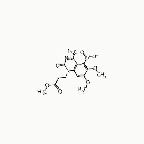 COC(=O)CCn1c(=O)nc(C)c2c([N+](=O)[O-])c(OC)c(OC)cc21